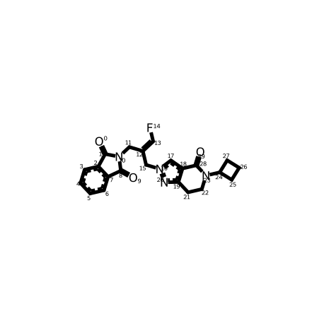 O=C1c2ccccc2C(=O)N1C/C(=C\F)Cn1cc2c(n1)CCN(C1CCC1)C2=O